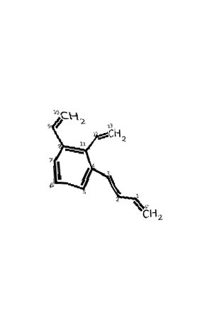 C=CC=Cc1cccc(C=C)c1C=C